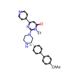 CCn1c(N2CCN[C@@H](c3ccc(-c4ccc(OC)cc4)cc3)C2)nc(-c2ccncc2)cc1=O